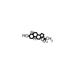 CC(=O)[C@@H]1CCC2C3CC[C@H]4C[C@@H](O)CC[C@H]4C3CC[C@]21C